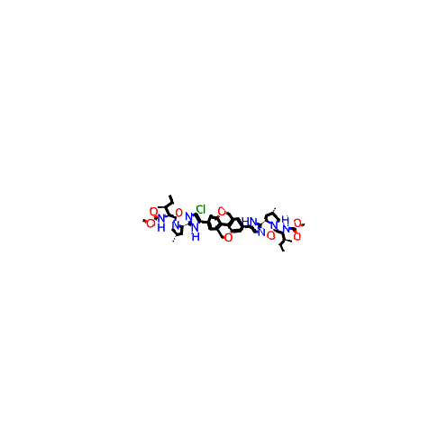 CC[C@H](C)[C@H](NC(=O)OC)C(=O)N1C[C@@H](C)C[C@H]1c1ncc(-c2cc3c4c(c2)OCc2cc(-c5[nH]c([C@@H]6C[C@H](C)CN6C(=O)[C@@H](NC(=O)OC)[C@@H](C)CC)nc5Cl)cc(c2-4)OC3)[nH]1